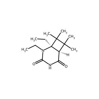 CCN1C(=O)NC(=O)[C@@H]2C(C)(C)C(C)(C)[C@@]21CC